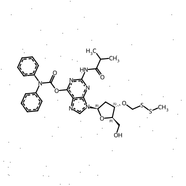 CSSCO[C@H]1C[C@H](n2cnc3c(OC(=O)N(c4ccccc4)c4ccccc4)nc(NC(=O)C(C)C)nc32)O[C@@H]1CO